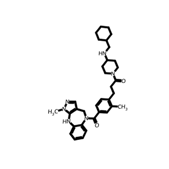 Cc1cc(C(=O)N2Cc3cnn(C)c3Nc3ccccc32)ccc1CCC(=O)N1CCC(NCC2CCCCC2)CC1